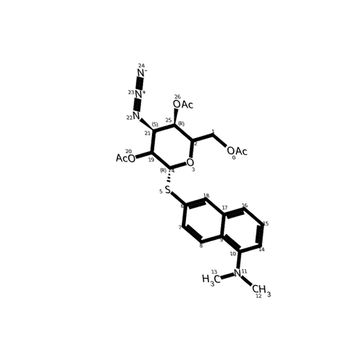 CC(=O)OCC1O[C@H](Sc2ccc3c(N(C)C)cccc3c2)C(OC(C)=O)[C@@H](N=[N+]=[N-])[C@H]1OC(C)=O